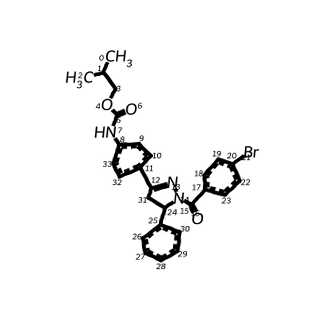 CC(C)COC(=O)Nc1ccc(C2=NN(C(=O)c3ccc(Br)cc3)C(c3ccccc3)C2)cc1